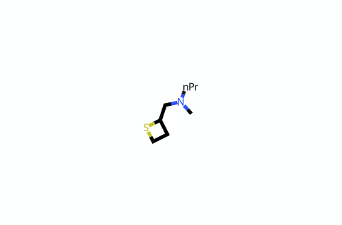 CCCN(C)CC1CCS1